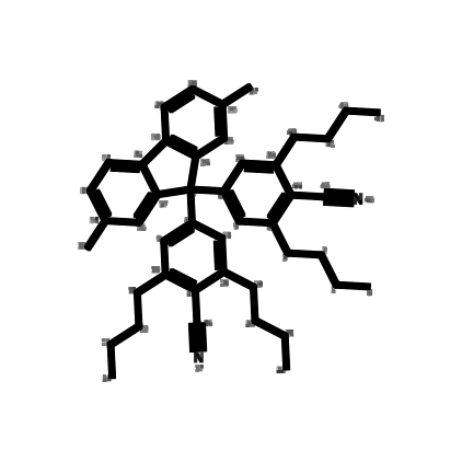 CCCCc1cc(C2(c3cc(CCCC)c(C#N)c(CCCC)c3)c3cc(C)ccc3-c3ccc(C)cc32)cc(CCCC)c1C#N